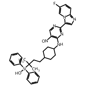 CC(C)(CCC1CCC(Nc2nc(-c3cnc4ccc(F)cn34)ncc2N=O)CC1)[Si](O)(c1ccccc1)c1ccccc1